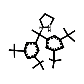 CC(C)(C)c1cc(C(C)(C)C)cc(C(C)(c2cc(C(C)(C)C)cc(C(C)(C)C)c2)[C@H]2CCCN2)c1